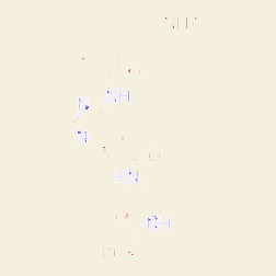 CC(=O)N[C@H]1C[C@H](Oc2cc(F)ccc2Nc2ncnc3sc(C(=O)NC4CC4NC(=O)OC(C)(C)C)c(C)c23)C1